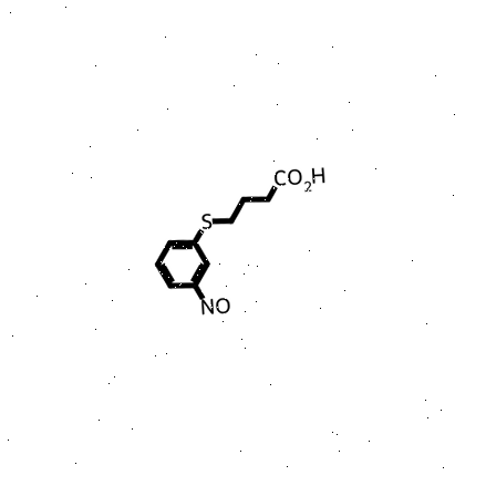 O=Nc1cccc(SCCCC(=O)O)c1